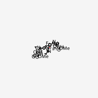 COC(=O)NC(C(=O)N[C@@H](CC1CC1)c1ncc(-c2ccc3c(c2)cc2n3C(c3ncc(C4CC4)s3)Oc3cc(-c4cnc([C@@H]5CCCN5C(=O)[C@@H](NC(=O)OC)C(C)C)[nH]4)cc(F)c3-2)[nH]1)C1C[C@@H](C)O[C@@H](C)C1